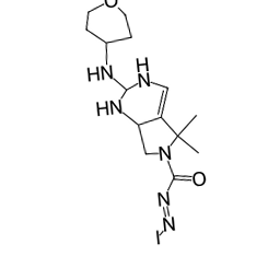 CC1(C)C2=CNC(NC3CCOCC3)NC2CN1C(=O)N=NI